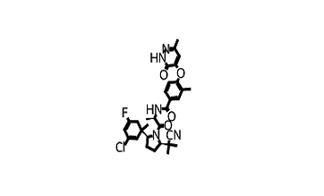 Cc1cc(Oc2ccc(C(=O)N[C@H](C)C(=O)N3[C@H](C4(C)C=C(Cl)C=C(F)C4)CC[C@@H]3C(C)(C)C#N)cc2C)c(=O)[nH]n1